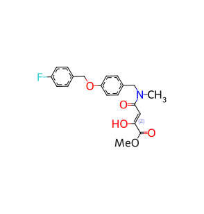 COC(=O)/C(O)=C/C(=O)N(C)Cc1ccc(OCc2ccc(F)cc2)cc1